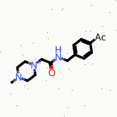 CC(=O)c1ccc(CNC(=O)CN2CCN(C)CC2)cc1